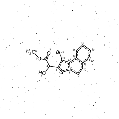 COC(=O)C(O)c1sc2ccc3ncccc3c2c1Br